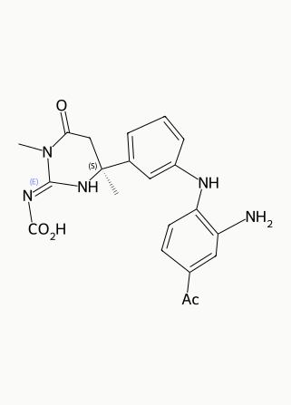 CC(=O)c1ccc(Nc2cccc([C@]3(C)CC(=O)N(C)/C(=N/C(=O)O)N3)c2)c(N)c1